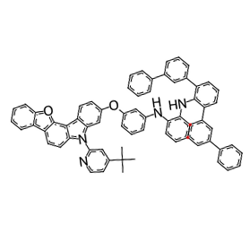 CC(C)(C)c1ccnc(-n2c3cc(Oc4cccc(Nc5ccccc5Nc5c(-c6cccc(-c7ccccc7)c6)cccc5-c5cccc(-c6ccccc6)c5)c4)ccc3c3c4oc5ccccc5c4ccc32)c1